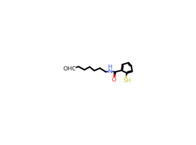 O=CCCCCCCNC(=O)c1ccccc1S